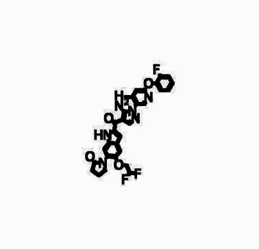 Cc1cc(Oc2ccccc2F)ncc1-n1ncc(C(=O)c2cc3cc(OCC(F)F)c(N4CCCC4=O)cc3[nH]2)c1N